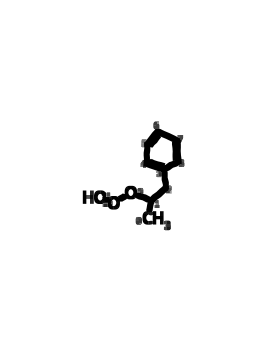 CC(Cc1ccccc1)OOO